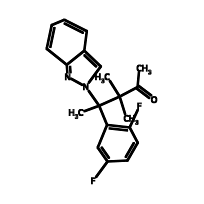 CC(=O)C(C)(C)C(C)(c1cc(F)ccc1F)n1cc2ccccc2n1